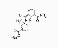 CC(C)(C)OC(=O)N1CCCC(C)(n2nc3c(C(N)=O)cccc3c2Br)C1